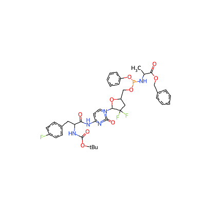 CC(NP(OCC1CC(F)(F)C(n2ccc(NC(=O)C(Cc3ccc(F)cc3)NC(=O)OC(C)(C)C)nc2=O)O1)Oc1ccccc1)C(=O)OCc1ccccc1